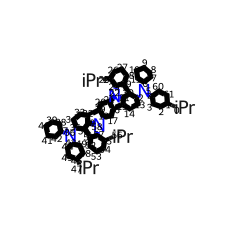 CC(C)c1ccc(N(c2ccccc2)c2ccc3c4cc5c(cc4n4c6c(C(C)C)cccc6c2c34)c2ccc(N(c3ccccc3)c3ccc(C(C)C)cc3)c3c4cccc(C(C)C)c4n5c23)cc1